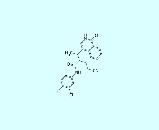 CC(c1c[nH]c(=O)c2ccccc12)C(CCC#N)C(=O)Nc1ccc(F)c(Cl)c1